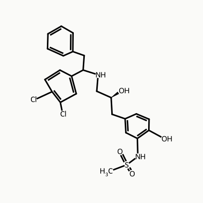 CS(=O)(=O)Nc1cc(C[C@H](O)CNC(Cc2ccccc2)c2ccc(Cl)c(Cl)c2)ccc1O